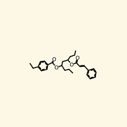 CCCC(CC(CCC)OC(=O)c1ccc(CC)cc1)OC(=O)C=Cc1ccccc1